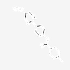 CCCCCCc1cnc(-c2ccc(OC(=O)C3CCC(C)CC3)cc2)nc1